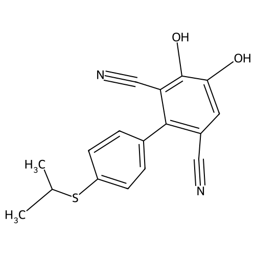 CC(C)Sc1ccc(-c2c(C#N)cc(O)c(O)c2C#N)cc1